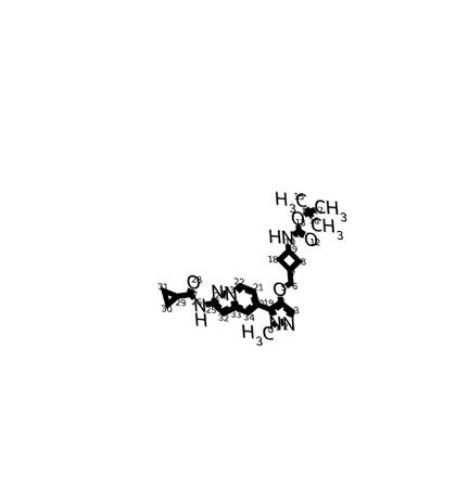 Cn1ncc(OCC2CC(NC(=O)OC(C)(C)C)C2)c1-c1ccn2nc(NC(=O)C3CC3)cc2c1